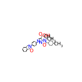 CC1CCC(C(=O)N(c2nn(-c3ccc(N4Cc5ccccc5C4=O)cc3)cc2C(=O)O)C(C)C)CC1